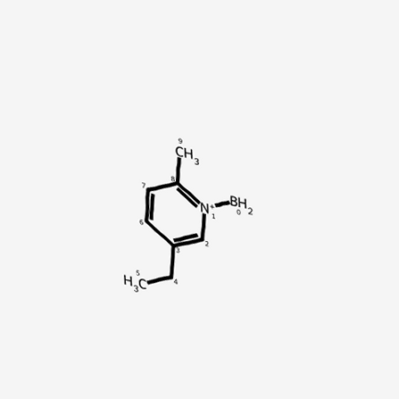 B[n+]1cc(CC)ccc1C